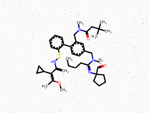 C=C(NSc1ccccc1-c1ccc(CN(C)/C(CCCC)=N\C2(C=O)CCCC2)cc1CN(C)C(=O)CC(C)(C)C)/C(=C(/C)OC)C1CC1